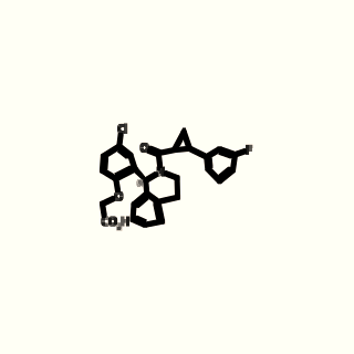 O=C(O)COc1ccc(Cl)cc1[C@@H]1c2ccccc2CCN1C(=O)C1CC1c1cccc(F)c1